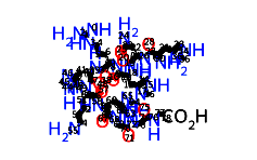 N=C(N)NCCC[C@H](NC(=O)[C@H](Cc1c[nH]cn1)NC(=O)[C@H](CC(N)=O)NC(=O)[C@@H](N)Cc1c[nH]cn1)C(=O)N[C@@H](Cc1c[nH]cn1)C(=O)N[C@@H](CCCCN)C(=O)N[C@@H](Cc1c[nH]cn1)C(=O)NCC(=O)NCC(=O)NCC(=O)O